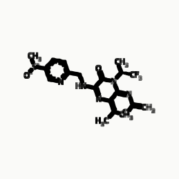 C=C(Cl)/N=C1\C(=C(C)C)N=C(NCc2ccc([S+](C)[O-])cn2)C(=O)N1[C@@H](C)C(F)(F)F